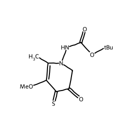 COC1=C(C)N(NC(=O)OC(C)(C)C)CC(=O)C1=S